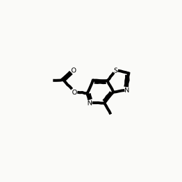 CC(=O)Oc1cc2scnc2c(C)n1